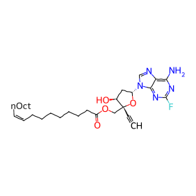 C#C[C@]1(COC(=O)CCCCCCC/C=C\CCCCCCCC)O[C@@H](n2cnc3c(N)nc(F)nc32)C[C@@H]1O